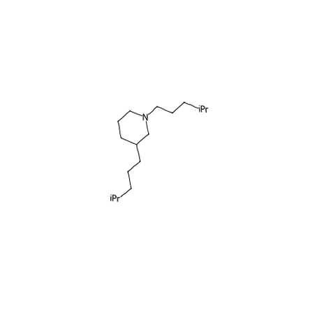 CC(C)CCCC1CCCN(CCCC(C)C)C1